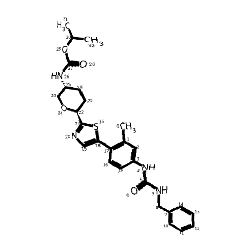 Cc1cc(NC(=O)NCc2ccccc2)ccc1-c1cnc([C@@H]2CC[C@@H](NC(=O)OC(C)C)CO2)s1